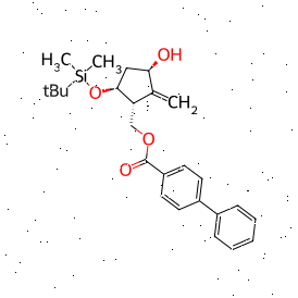 C=C1[C@H](O)C[C@H](O[Si](C)(C)C(C)(C)C)[C@H]1COC(=O)c1ccc(-c2ccccc2)cc1